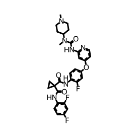 CN1CCC(N(C)C(=O)Nc2cc(Oc3ccc(NC(=O)C4(C(=O)Nc5ccc(F)cc5F)CC4)c(F)c3)ccn2)CC1